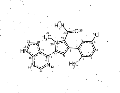 Cc1ccc(Cl)cc1-c1cc(-c2ncnc3[nH]ccc23)n(C)c1C(N)=O